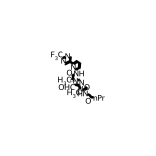 CCCC(=O)CNC(=O)N(C)c1ncn([C@@H](C)C(=O)Nc2cccc(-c3cnc(C(F)(F)F)nc3)n2)c1C=O